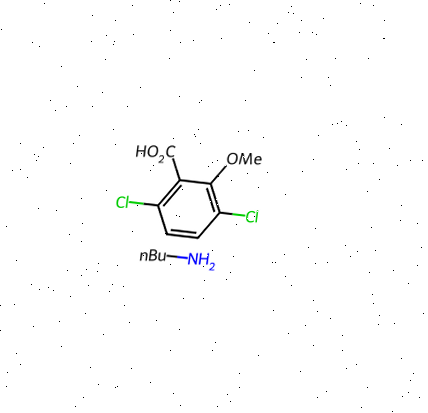 CCCCN.COc1c(Cl)ccc(Cl)c1C(=O)O